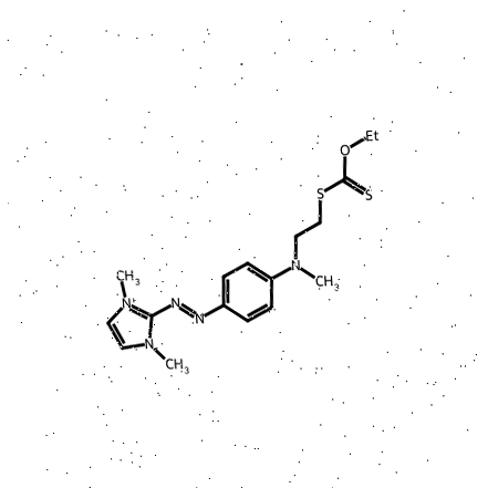 CCOC(=S)SCCN(C)c1ccc(/N=N/c2n(C)cc[n+]2C)cc1